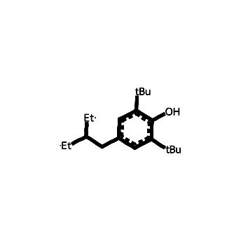 C[CH]C([CH]C)Cc1cc(C(C)(C)C)c(O)c(C(C)(C)C)c1